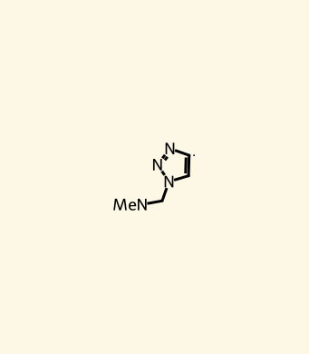 CNCn1c[c]nn1